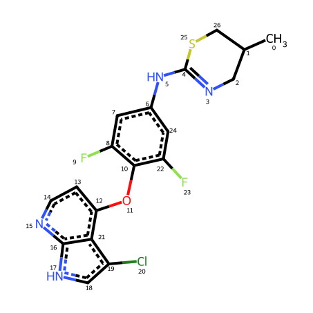 CC1CN=C(Nc2cc(F)c(Oc3ccnc4[nH]cc(Cl)c34)c(F)c2)SC1